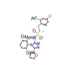 COc1cccc(OC)c1-n1c(NS(=O)(=O)[C@@H](C)Cc2ncc(Cl)cc2C#N)nnc1-c1ccco1